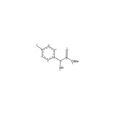 CCCC(C(=O)OC)c1ccc(C)cc1